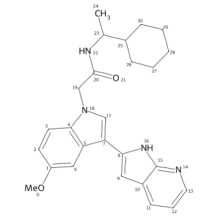 COc1ccc2c(c1)c(-c1cc3cccnc3[nH]1)cn2CC(=O)NC(C)C1CCCCC1